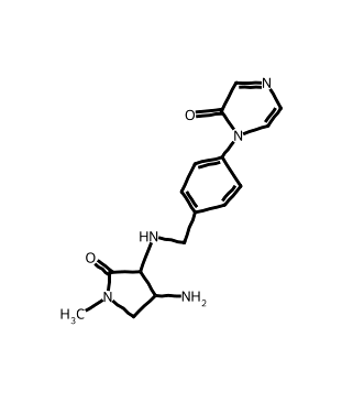 CN1CC(N)C(NCc2ccc(-n3ccncc3=O)cc2)C1=O